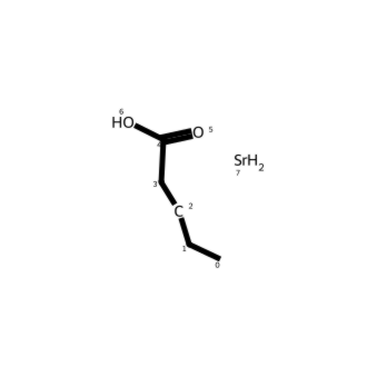 CCCCC(=O)O.[SrH2]